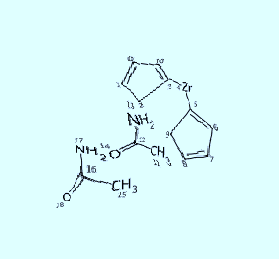 C1=CC[C]([Zr][C]2=CC=CC2)=C1.CC(N)=O.CC(N)=O